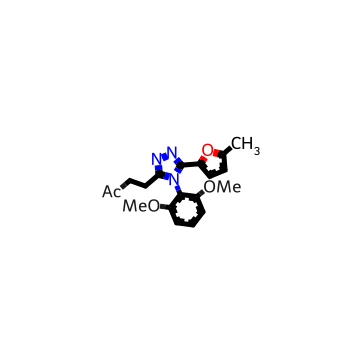 COc1cccc(OC)c1-n1c(CCC(C)=O)nnc1-c1ccc(C)o1